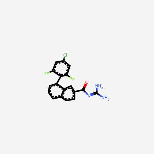 NC(N)=NC(=O)c1ccc2cccc(-c3c(F)cc(Cl)cc3F)c2c1